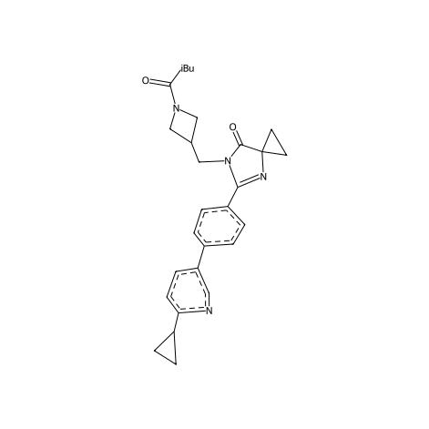 CCC(C)C(=O)N1CC(CN2C(=O)C3(CC3)N=C2c2ccc(-c3ccc(C4CC4)nc3)cc2)C1